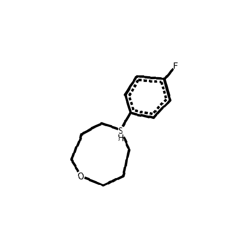 Fc1ccc([SH]2CCCOCCC2)cc1